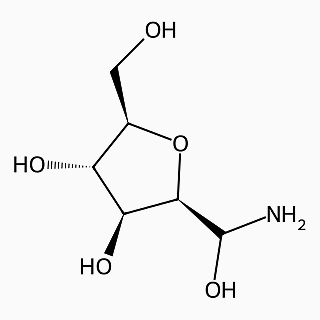 NC(O)[C@@H]1O[C@H](CO)[C@@H](O)[C@@H]1O